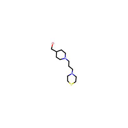 [O]CC1CCN(CCCN2CCSCC2)CC1